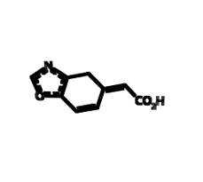 O=C(O)C=C1C=Cc2ocnc2C1